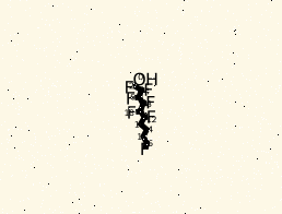 OC(F)C(F)C(F)C(F)C(F)C(F)CCCCF